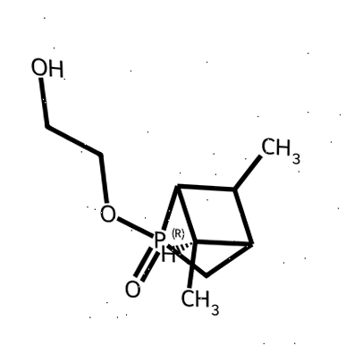 CC1C2CP(=O)(OCCO)C1[C@@H]2C